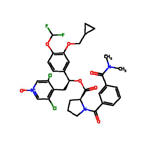 CN(C)C(=O)c1cccc(C(=O)N2CCC[C@H]2C(=O)O[C@@H](Cc2c(Cl)c[n+]([O-])cc2Cl)c2ccc(OC(F)F)c(OCC3CC3)c2)c1